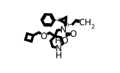 C=CC[C@@]1(N(CC2(COCC3CCC3)CCNCC2)C(=O)O)C[C@H]1c1ccccc1